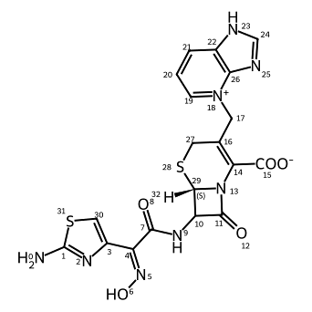 Nc1nc(C(=NO)C(=O)NC2C(=O)N3C(C(=O)[O-])=C(C[n+]4cccc5[nH]cnc54)CS[C@@H]23)cs1